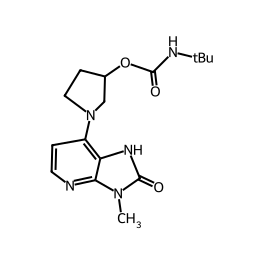 Cn1c(=O)[nH]c2c(N3CCC(OC(=O)NC(C)(C)C)C3)ccnc21